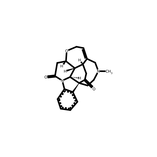 CN1CC[C@]23C(=O)C[C@H]4C(=CCO[C@H]5CC(=O)N(c6ccccc62)[C@H]3[C@H]54)C1